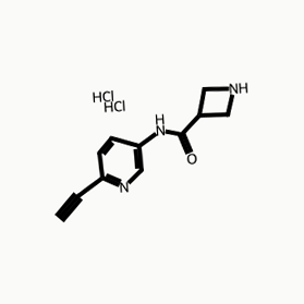 C#Cc1ccc(NC(=O)C2CNC2)cn1.Cl.Cl